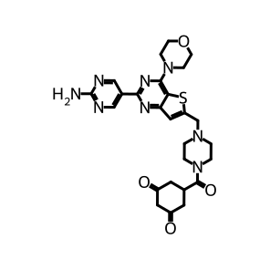 Nc1ncc(-c2nc(N3CCOCC3)c3sc(CN4CCN(C(=O)C5CC(=O)CC(=O)C5)CC4)cc3n2)cn1